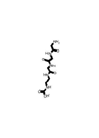 NCC(=O)NCC(=O)NCC(=O)NCCNC(=O)O